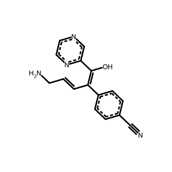 N#Cc1ccc(C(/C=C/CN)=C(\O)c2cnccn2)cc1